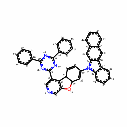 C1=CC2c3c(cncc3-c3nc(-c4ccccc4)nc(-c4ccccc4)n3)OC2C=C1n1c2ccccc2c2cc3ccccc3cc21